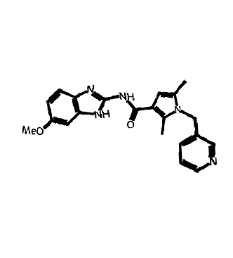 COc1ccc2nc(NC(=O)c3cc(C)n(Cc4cccnc4)c3C)[nH]c2c1